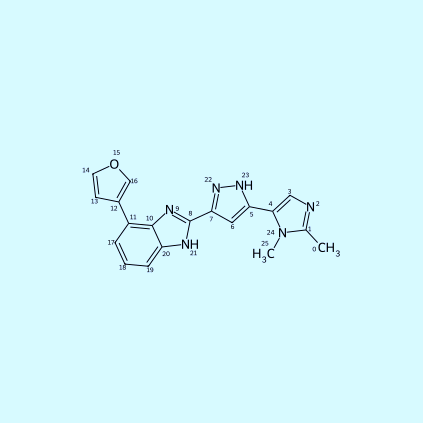 Cc1ncc(-c2cc(-c3nc4c(-c5ccoc5)cccc4[nH]3)n[nH]2)n1C